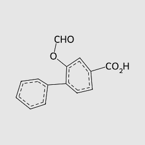 O=COc1cc(C(=O)O)ccc1-c1ccccc1